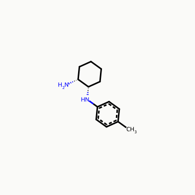 Cc1ccc(N[C@H]2CCCC[C@H]2N)cc1